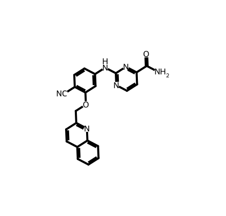 N#Cc1ccc(Nc2nccc(C(N)=O)n2)cc1OCc1ccc2ccccc2n1